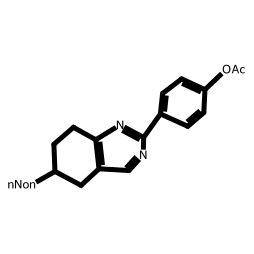 CCCCCCCCCC1CCc2nc(-c3ccc(OC(C)=O)cc3)ncc2C1